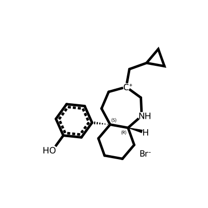 Oc1cccc([C@@]23CCCC[C@H]2NC[C+](CC2CC2)CC3)c1.[Br-]